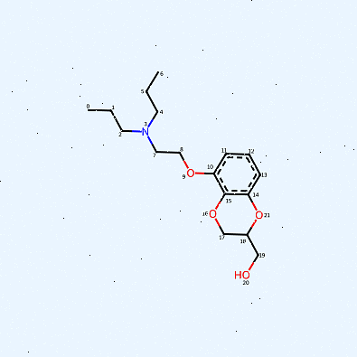 CCCN(CCC)CCOc1cccc2c1OCC(CO)O2